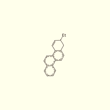 CC[C]1C=Cc2c(ccc3c2ccc2ccccc23)C1